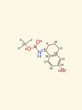 CC(C)(C)OC(=O)NC1CCCc2cc(Br)ccc21